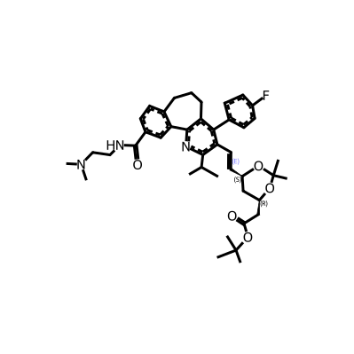 CC(C)c1nc2c(c(-c3ccc(F)cc3)c1/C=C/[C@@H]1C[C@H](CC(=O)OC(C)(C)C)OC(C)(C)O1)CCCc1ccc(C(=O)NCCN(C)C)cc1-2